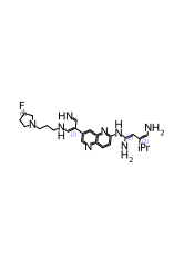 CC(C)C(=C/N)/C=C(\N)Nc1ccc2ncc(/C(C=N)=C/NCCCN3CC[C@H](F)C3)cc2n1